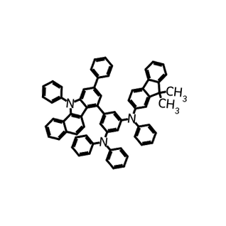 CC1(C)c2ccccc2-c2ccc(N(c3ccccc3)c3cc(-c4cc(-c5ccccc5)cc5c4c4ccc6ccccc6c4n5-c4ccccc4)cc(N(c4ccccc4)c4ccccc4)c3)cc21